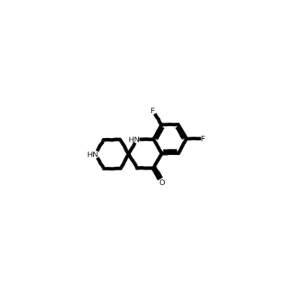 O=C1CC2(CCNCC2)Nc2c(F)cc(F)cc21